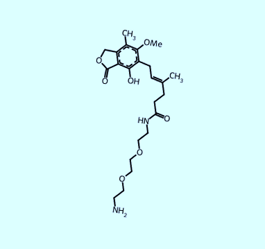 COc1c(C)c2c(c(O)c1C/C=C(\C)CCC(=O)NCCOCCOCCN)C(=O)OC2